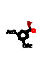 CC(=O)Oc1cc(OC(C)=O)cc(C(=O)Br)c1